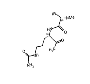 CN[C@H](C(=O)N[C@@H](CCCNC(N)=O)C(N)=O)C(C)C